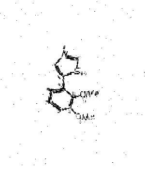 COc1cccc(-c2cn[c]s2)c1OC